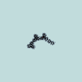 c1ccc(-c2ccc(-c3ccc(-n4c5ccccc5c5cc(-c6ccc7c(c6)c6ccccc6n7-c6ccc(-c7ccc8c9ccccc9c9ccccc9c8c7)cc6)ccc54)cc3)cc2)cc1